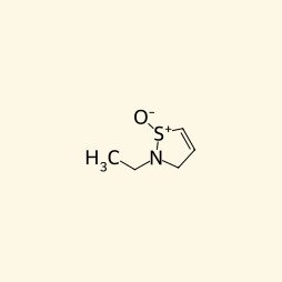 CCN1CC=C[S+]1[O-]